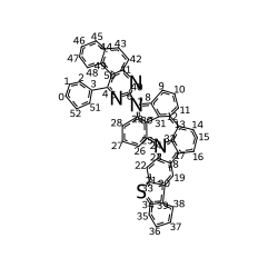 c1ccc(-c2nc(-n3c4cccc5c6cccc7c8cc9c(cc8n(c8cccc3c8c54)c67)sc3ccccc39)nc3ccc4ccccc4c23)cc1